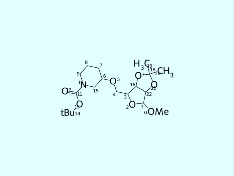 COC1OC(COC2CCCN(C(=O)OC(C)(C)C)C2)C2OC(C)(C)OC12